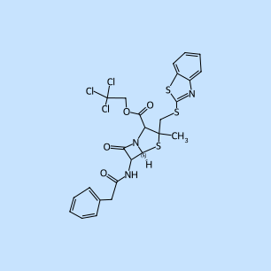 CC1(CSc2nc3ccccc3s2)S[C@H]2C(NC(=O)Cc3ccccc3)C(=O)N2C1C(=O)OCC(Cl)(Cl)Cl